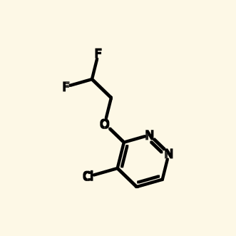 FC(F)COc1nnccc1Cl